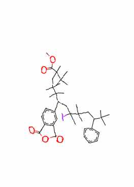 COC(=O)C(C)(CC(C)(C)C(C)(C)C(CC(C)(I)C(C)(C)CC(c1ccccc1)C(C)(C)C)c1ccc2c(c1)C(=O)OC2=O)C(C)(C)C